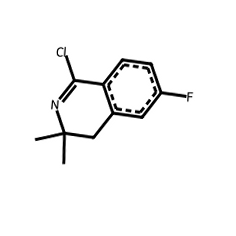 CC1(C)Cc2cc(F)ccc2C(Cl)=N1